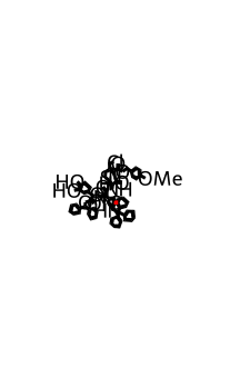 COc1ccc(COC(=O)C2=C(CCl)CS[C@@H]3C(NC(=O)/C(=N\O[C@@H](C(=O)OC(c4ccccc4)c4ccccc4)c4ccc(O)c(O)c4)c4csc(NC(c5ccccc5)(c5ccccc5)c5ccccc5)n4)C(=O)N23)cc1